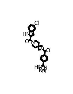 O=C(c1ccc(-c2nnn[nH]2)cc1)N1CC2(CCN(C(=O)c3cc4cc(Cl)ccc4[nH]3)CC2)C1